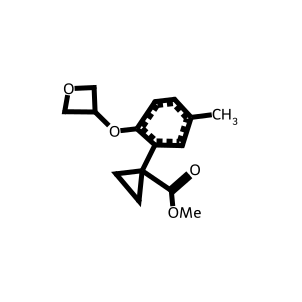 COC(=O)C1(c2cc(C)ccc2OC2COC2)CC1